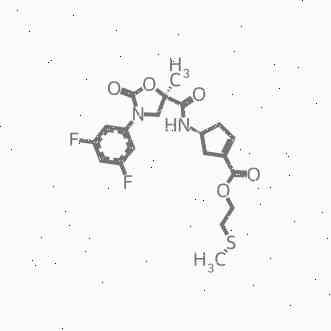 CSCCOC(=O)C1=CC[C@H](NC(=O)[C@@]2(C)CN(c3cc(F)cc(F)c3)C(=O)O2)C1